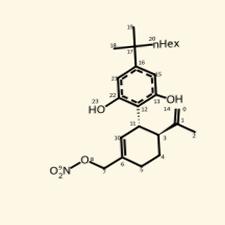 C=C(C)[C@H]1CCC(CO[N+](=O)[O-])=C[C@@H]1c1c(O)cc(C(C)(C)CCCCCC)cc1O